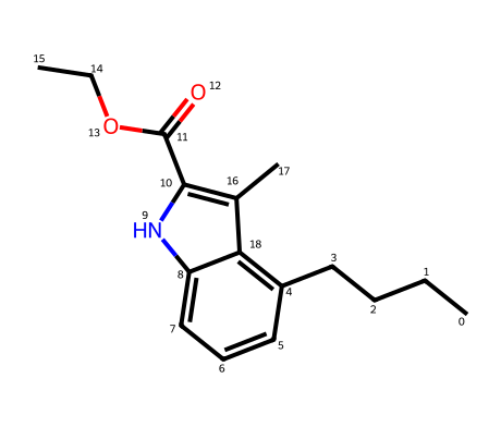 CCCCc1cccc2[nH]c(C(=O)OCC)c(C)c12